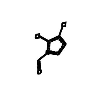 O=Cn1ccc(Cl)c1Cl